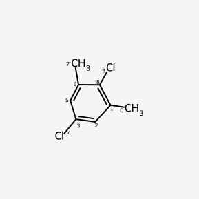 Cc1cc(Cl)cc(C)c1Cl